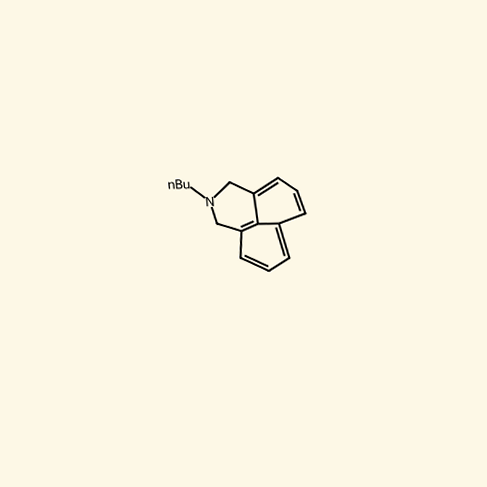 CCCCN1Cc2cccc3cccc(c23)C1